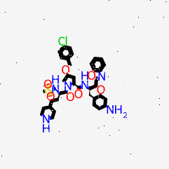 CS(=O)(=O)N[C@H](CCC1CCNCC1)C(=O)N1C[C@H](OCc2ccc(Cl)cc2)C[C@H]1C(=O)N[C@@H](C[C@H]1CC[C@H](N)CC1)C(=O)c1nc2ccccc2o1